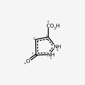 O=C(O)c1[c]c(=O)[nH][nH]1